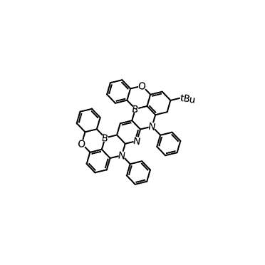 CC(C)(C)C1C=C2Oc3ccccc3B3C4=CC5B6c7c(cccc7N(c7ccccc7)C5N=C4N(c4ccccc4)C(=C32)C1)OC1C=CC=CC61